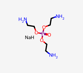 NCCOP(=O)(OCCN)OCCN.[NaH]